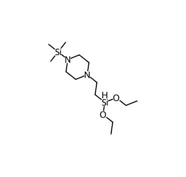 CCO[SiH](CCN1CCN([Si](C)(C)C)CC1)OCC